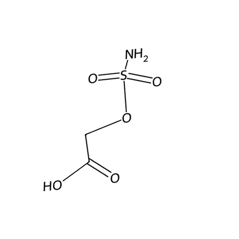 NS(=O)(=O)OCC(=O)O